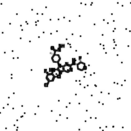 C[C@]1(C(=O)N=N)CC[C@@H](n2c(Nc3c(F)cc(Cl)cc3Cl)nc3cnc(N[C@H]4CCOC[C@H]4F)nc32)CC1